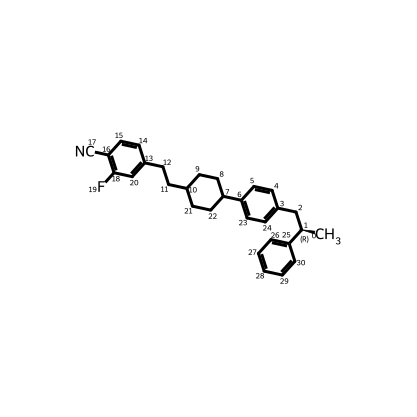 C[C@H](Cc1ccc(C2CCC(CCc3ccc(C#N)c(F)c3)CC2)cc1)c1ccccc1